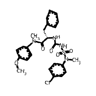 COc1ccc(N(C)C(=O)[C@H](Cc2ccccc2)NC(=O)NS(=O)(=O)N(C)c2ccc(Cl)cc2)cc1